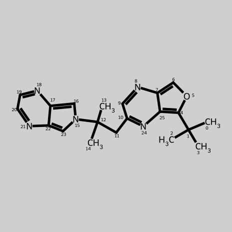 CC(C)(C)c1occ2ncc(CC(C)(C)n3cc4nccnc4c3)nc12